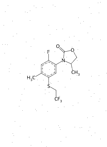 Cc1cc(F)c(N2C(=O)OCC2C)cc1SCC(F)(F)F